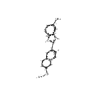 CCCCCCCCCCOc1ccc2cc(-c3nc4cc(CCCC)ccc4o3)ccc2c1